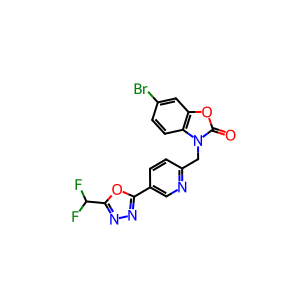 O=c1oc2cc(Br)ccc2n1Cc1ccc(-c2nnc(C(F)F)o2)cn1